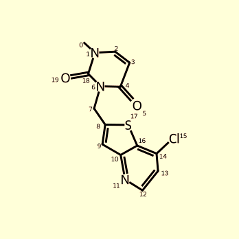 Cn1ccc(=O)n(Cc2cc3nccc(Cl)c3s2)c1=O